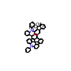 CC1(C)c2ccccc2-c2cccc(N(c3ccccc3)c3ccccc3-c3ccc4c(c3)C3(c5ccccc5-4)c4ccccc4N(c4ccccc4)c4ccccc43)c21